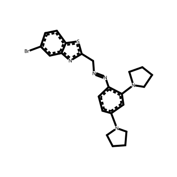 Brc1ccc2sc(CN=Nc3ccc(N4CCCC4)cc3N3CCCC3)nc2c1